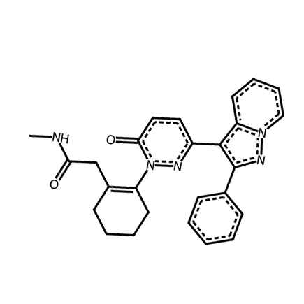 CNC(=O)CC1=C(n2nc(-c3c(-c4ccccc4)nn4ccccc34)ccc2=O)CCCC1